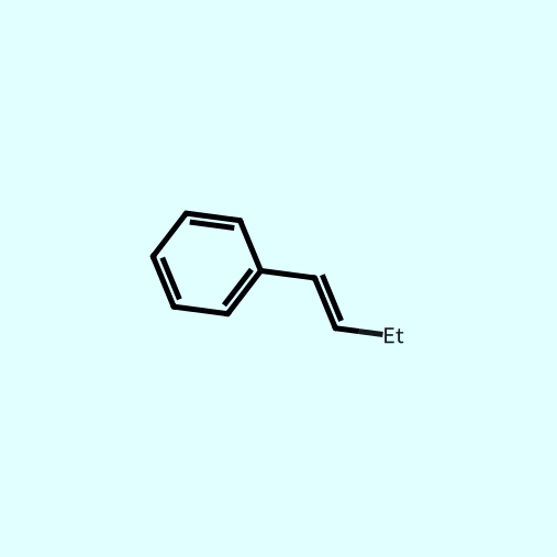 [CH]C/C=C/c1ccccc1